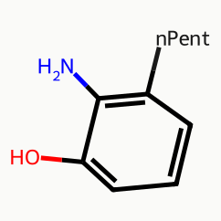 CCCCCc1cccc(O)c1N